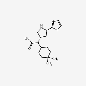 CC1(C)CCC(N(C(=O)C(C)(C)C)[C@@H]2CN[C@@H](c3nccs3)C2)CC1